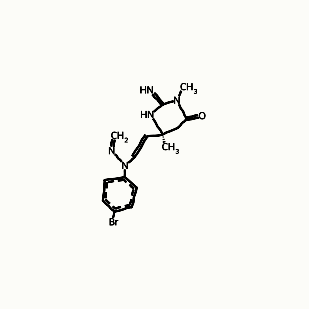 C=NN(/C=C/[C@]1(C)CC(=O)N(C)C(=N)N1)c1ccc(Br)cc1